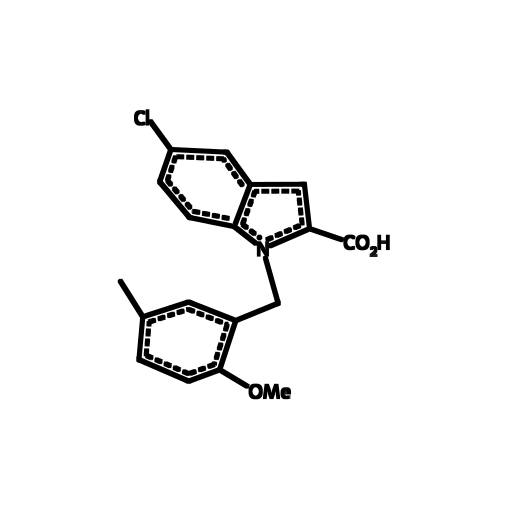 COc1ccc(C)cc1Cn1c(C(=O)O)cc2cc(Cl)ccc21